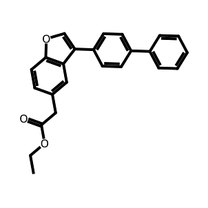 CCOC(=O)Cc1ccc2occ(-c3ccc(-c4ccccc4)cc3)c2c1